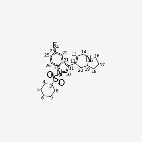 O=S(=O)(C1CCCCC1)n1cc(C2=CCN3CCCC3C2)c2cc(F)ccc21